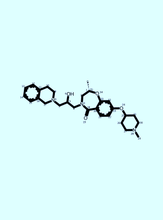 C[C@H]1CN(CC(O)CN2CCc3ccccc3C2)C(=O)c2ccc(OC3CCN(C)CC3)cc2O1